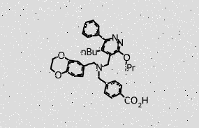 CCCCc1c(-c2ccccc2)nnc(OC(C)C)c1CN(Cc1ccc(C(=O)O)cc1)Cc1ccc2c(c1)OCCO2